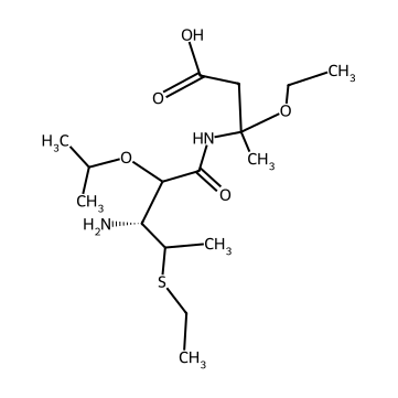 CCOC(C)(CC(=O)O)NC(=O)C(OC(C)C)[C@@H](N)C(C)SCC